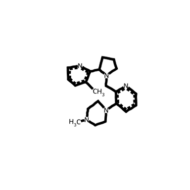 Cc1cccnc1C1CCCN1Cc1ncccc1N1CCN(C)CC1